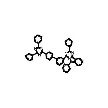 c1ccc(-c2nc(-c3ccccc3)nc(-c3ccc(-c4cccc(-c5nc(-c6ccccc6)nc6c7ccccc7c(-c7ccccc7)n56)c4)cc3)n2)cc1